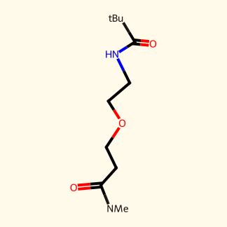 CNC(=O)CCOCCNC(=O)C(C)(C)C